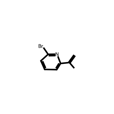 C=C(C)c1cccc(Br)n1